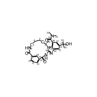 C[C@@H]1CCCCNC(=O)c2cccc(c2)C(=O)Nc2nc3cc(C(C)(C)O)cc(C(=O)N(C)C)c3n21